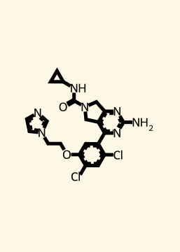 Nc1nc2c(c(-c3cc(OCCn4ccnc4)c(Cl)cc3Cl)n1)CN(C(=O)NC1CC1)C2